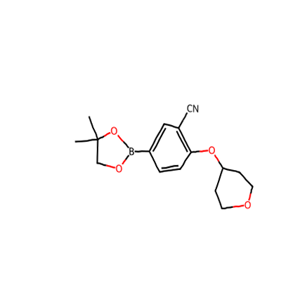 CC1(C)COB(c2ccc(OC3CCOCC3)c(C#N)c2)O1